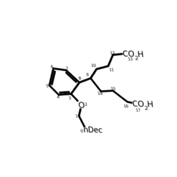 CCCCCCCCCCCOc1ccccc1C(CCCC(=O)O)CCCC(=O)O